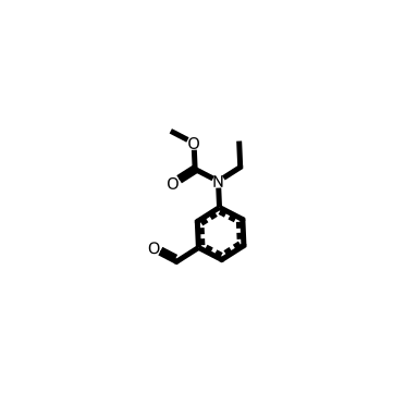 CCN(C(=O)OC)c1cccc(C=O)c1